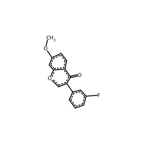 COc1ccc2c(=O)c(-c3cccc(F)c3)coc2c1